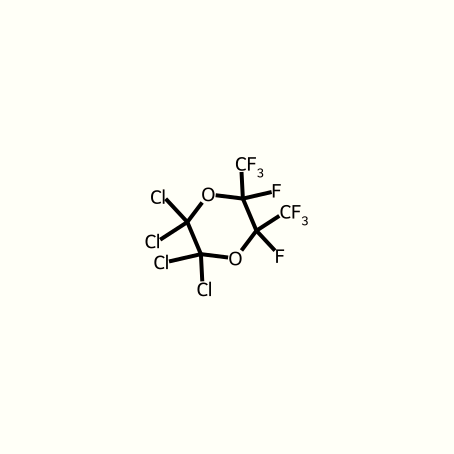 FC(F)(F)C1(F)OC(Cl)(Cl)C(Cl)(Cl)OC1(F)C(F)(F)F